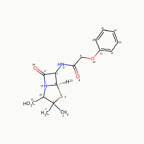 CC1(C)S[C@@H]2C(NC(=O)COc3ccccc3)C(=O)N2C1C(=O)O